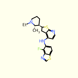 CCN1CCC[C@@H](C2Cc3c(Nc4ccc5scnc5c4F)ccnc3S2)[C@@H]1C